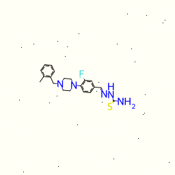 Cc1ccccc1CN1CCN(c2ccc(/C=N/NC(N)=S)cc2F)CC1